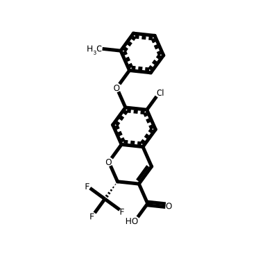 Cc1ccccc1Oc1cc2c(cc1Cl)C=C(C(=O)O)[C@H](C(F)(F)F)O2